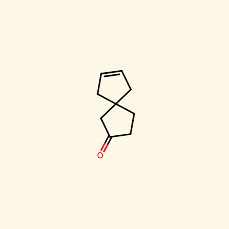 O=C1CCC2(CC=CC2)C1